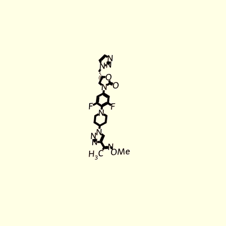 CON=C(C)c1cn(C2CCN(c3c(F)cc(N4C[C@H](Cn5ccnn5)OC4=O)cc3F)CC2)nn1